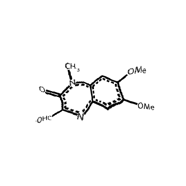 COc1cc2nc([C]=O)c(=O)n(C)c2cc1OC